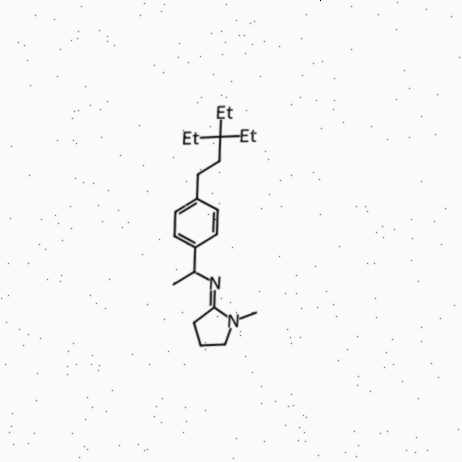 CCC(CC)(CC)CCc1ccc(C(C)/N=C2\CCCN2C)cc1